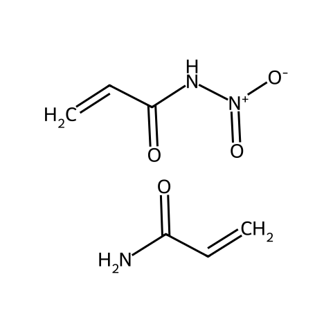 C=CC(=O)N[N+](=O)[O-].C=CC(N)=O